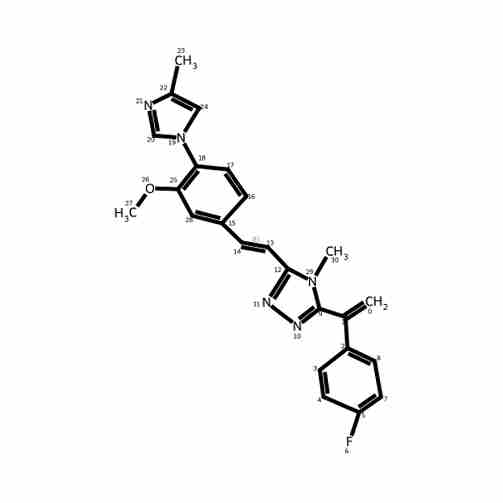 C=C(c1ccc(F)cc1)c1nnc(/C=C/c2ccc(-n3cnc(C)c3)c(OC)c2)n1C